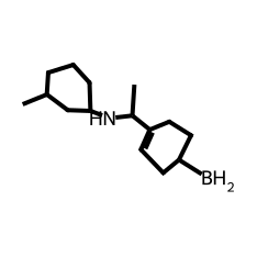 BC1CC=C(C(C)NC2CCCC(C)C2)CC1